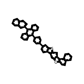 c1ccc2cc(-c3c4ccccc4c(-c4ccc(-c5ccc6c(c5)sc5cc7c(cc56)oc5ccc6ccccc6c57)cc4)c4ccccc34)ccc2c1